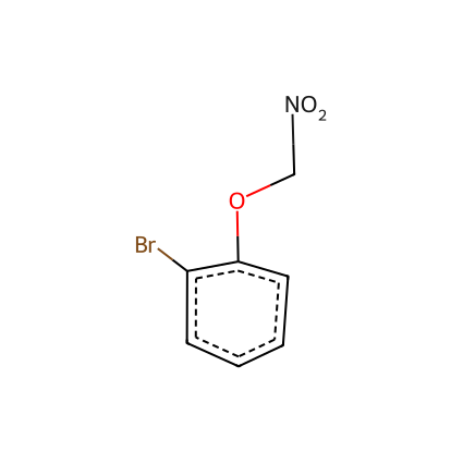 O=[N+]([O-])COc1ccccc1Br